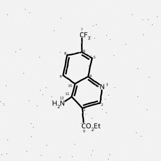 CCOC(=O)c1cnc2cc(C(F)(F)F)ccc2c1N